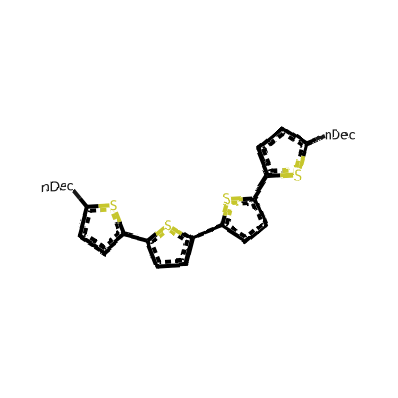 CCCCCCCCCCc1ccc(-c2ccc(-c3ccc(-c4ccc(CCCCCCCCCC)s4)s3)s2)s1